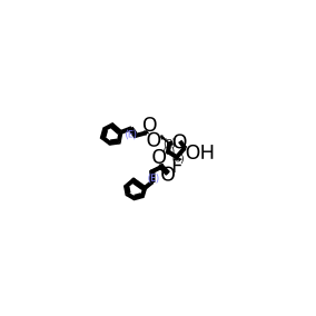 O=C(/C=C/c1ccccc1)OC[C@H]1OC(O)[C@@H](F)[C@H]1OC(=O)/C=C/c1ccccc1